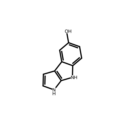 Oc1ccc2[nH]c3[nH]ccc3c2c1